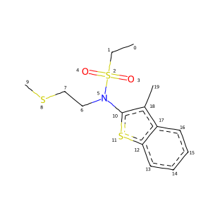 CCS(=O)(=O)N(CCSC)c1sc2ccccc2c1C